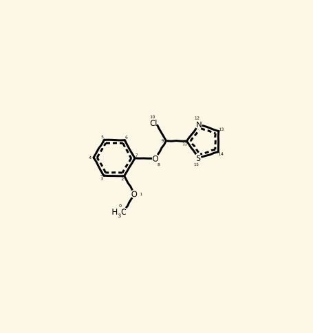 COc1[c]cccc1OC(Cl)c1nccs1